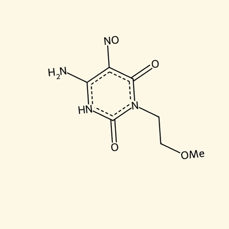 COCCn1c(=O)[nH]c(N)c(N=O)c1=O